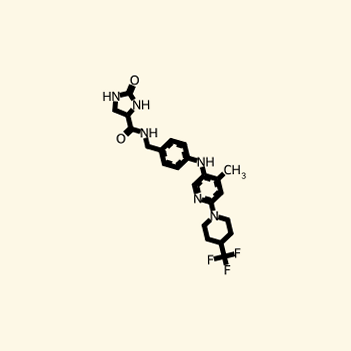 Cc1cc(N2CCC(C(F)(F)F)CC2)ncc1Nc1ccc(CNC(=O)C2CNC(=O)N2)cc1